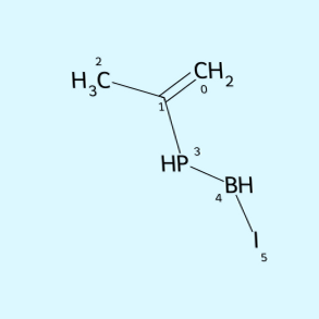 C=C(C)PBI